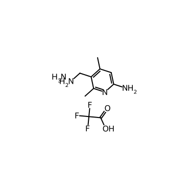 Cc1cc(N)nc(C)c1CN.N.O=C(O)C(F)(F)F